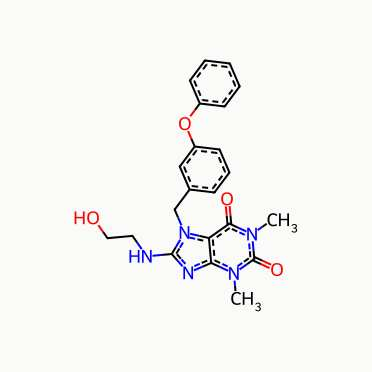 Cn1c(=O)c2c(nc(NCCO)n2Cc2cccc(Oc3ccccc3)c2)n(C)c1=O